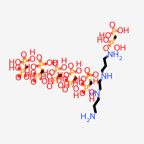 NCCCNCCNCCCN.O=P(O)(O)CP(=O)(O)O.O=P(O)(O)CP(=O)(O)O.O=P(O)(O)CP(=O)(O)O.O=P(O)(O)CP(=O)(O)O.O=P(O)(O)CP(=O)(O)O.O=P(O)(O)CP(=O)(O)O